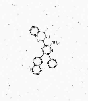 C[C@H](NC(=O)c1nc(-c2ccc3ncccc3c2)c(-c2ccccc2)nc1N)c1ccccn1